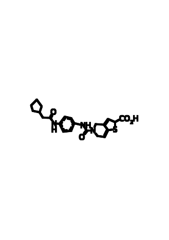 O=C(CC1CCCC1)Nc1ccc(NC(=O)N2CC=C3SC(C(=O)O)C=C3C2)cc1